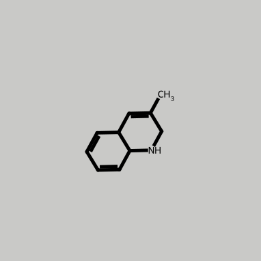 CC1=CC2C=CC=CC2NC1